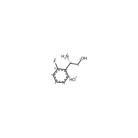 Cl.N[C@H](CO)c1ccccc1F